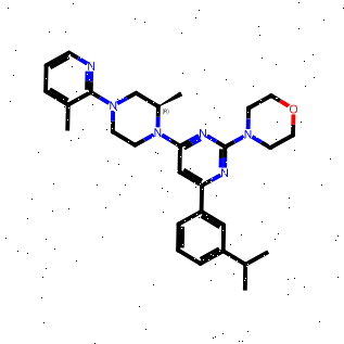 Cc1cccnc1N1CCN(c2cc(-c3cccc(C(C)C)c3)nc(N3CCOCC3)n2)[C@H](C)C1